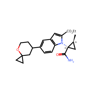 CCOC(=O)c1cc2cc(C3CCOC4(CC4)C3)ccc2n1[C@@]1(C(N)=O)C[C@@H]1C